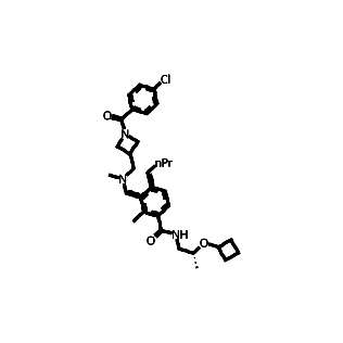 CCC/C=c1\ccc(C(=O)NC[C@@H](C)OC2CCC2)c(C)\c1=C\N(C)CC1CN(C(=O)c2ccc(Cl)cc2)C1